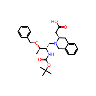 C[C@@H](OCc1ccccc1)[C@H](CN1Cc2ccccc2C[C@@H]1CC(=O)O)NC(=O)OC(C)(C)C